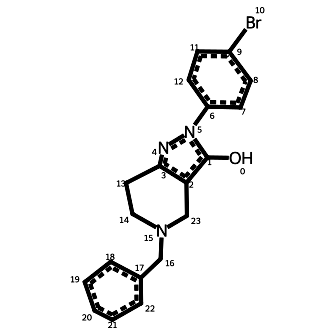 Oc1c2c(nn1-c1ccc(Br)cc1)CCN(Cc1ccccc1)C2